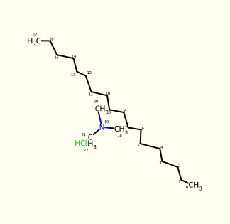 CCCCCCCCCCCCCCCCCC.CN(C)C.Cl